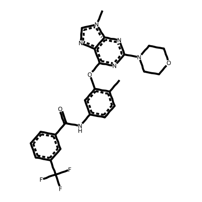 Cc1ccc(NC(=O)c2cccc(C(F)(F)F)c2)cc1Oc1nc(N2CCOCC2)nc2c1ncn2C